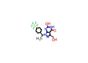 C[C@@H](c1ccc(S(F)(F)(F)(F)F)cc1)n1nc(CO)c2c(=O)[nH]c(O)nc21